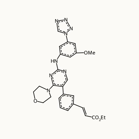 CCOC(=O)/C=C/c1cccc(-c2cnc(Nc3cc(OC)cc(-n4cnnn4)c3)nc2N2CCOCC2)c1